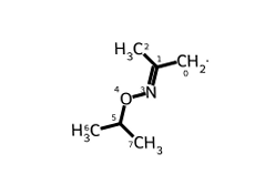 [CH2]C(C)=NOC(C)C